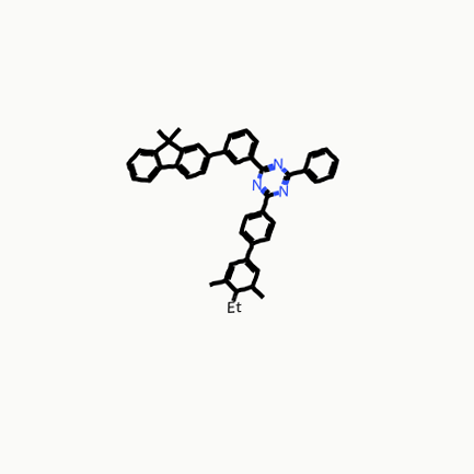 CCC1C(C)=CC(c2ccc(-c3nc(-c4ccccc4)nc(-c4cccc(-c5ccc6c(c5)C(C)(C)c5ccccc5-6)c4)n3)cc2)=CC1C